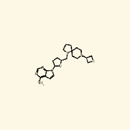 Nc1ncnc2c1ccn2C1CCC(CN2CCCC23CCN(C2COC2)CC3)O1